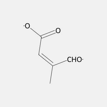 C/C([C]=O)=C/C([O])=O